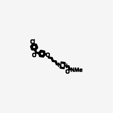 CNC(=O)CN1CCN(CCCCCOc2ccc(C(=O)c3ccc(Cl)cc3)cc2)CC1